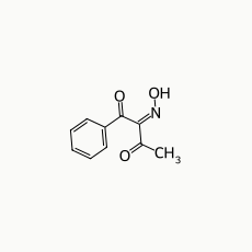 CC(=O)/C(=N/O)C(=O)c1ccccc1